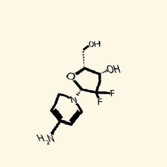 NC1=CCN([C@@H]2O[C@H](CO)[C@H](O)C2(F)F)C=C1